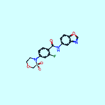 O=C(Nc1ccc2ocnc2c1)c1ccc(N2CCOCS2(=O)=O)cc1F